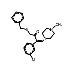 CN1CCN(C=C(C(=O)CSCc2ccccc2)c2cccc(Cl)c2)CC1